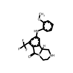 COc1ccccc1Nc1cc2c(c(C(F)(F)F)c1)C(=O)N1CCNC[C@@H]21